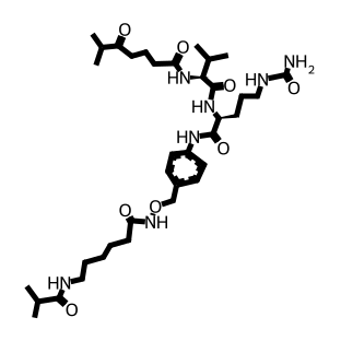 CC(C)C(=O)CCCC(=O)N[C@H](C(=O)N[C@@H](CCCNC(N)=O)C(=O)Nc1ccc(CONC(=O)CCCCCNC(=O)C(C)C)cc1)C(C)C